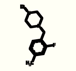 CCN1CCN(Cc2ccc(C)cc2F)CC1